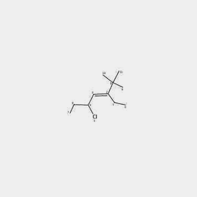 CC/C(=C\C(Cl)CC)C(C)(C)C